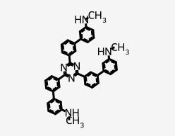 CNc1cccc(-c2cccc(-c3nc(-c4cccc(-c5cccc(NC)c5)c4)nc(-c4cccc(-c5cccc(NC)c5)c4)n3)c2)c1